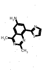 Cc1nc(C)c2cc(N)cc(-c3nccs3)c2n1